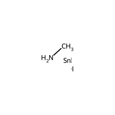 CN.[I].[Sn]